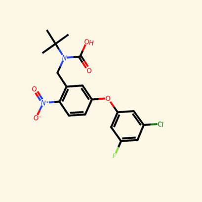 CC(C)(C)N(Cc1cc(Oc2cc(F)cc(Cl)c2)ccc1[N+](=O)[O-])C(=O)O